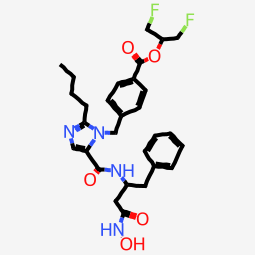 CCCCc1ncc(C(=O)NC(CC(=O)NO)Cc2ccccc2)n1Cc1ccc(C(=O)OC(CF)CF)cc1